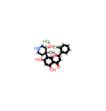 C[C@@]1(c2c(O)cc(O)c3c(=O)cc(-c4ccccc4Cl)oc23)CCNC[C@@H]1O.Cl